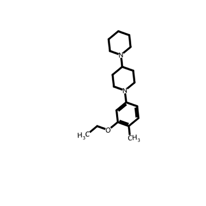 CCOc1cc(N2CCC(N3CCCCC3)CC2)ccc1C